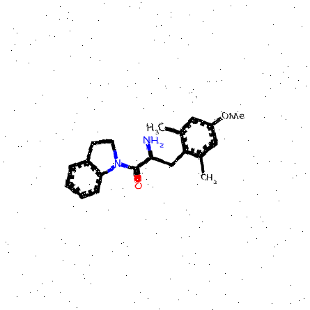 COc1cc(C)c(CC(N)C(=O)N2CCc3ccccc32)c(C)c1